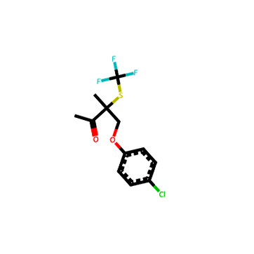 CC(=O)C(C)(COc1ccc(Cl)cc1)SC(F)(F)F